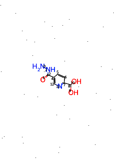 NNC(=O)c1ccc(C(O)O)nc1